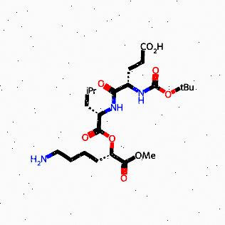 COC(=O)[C@H](CCCCN)OC(=O)[C@H](CC(C)C)NC(=O)[C@H](CCC(=O)O)NC(=O)OC(C)(C)C